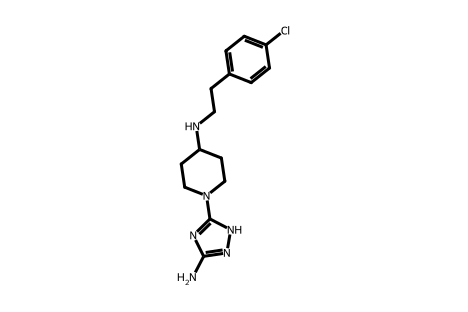 Nc1n[nH]c(N2CCC(NCCc3ccc(Cl)cc3)CC2)n1